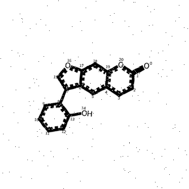 O=c1ccc2cc3c(-c4ccccc4O)coc3cc2o1